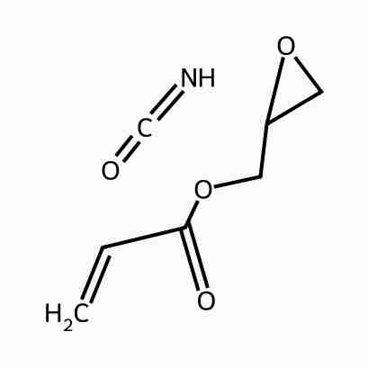 C=CC(=O)OCC1CO1.N=C=O